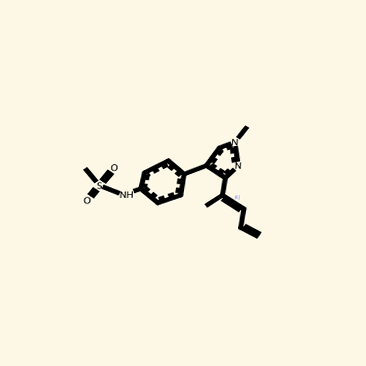 C=C/C=C(\C)c1nn(C)cc1-c1ccc(NS(C)(=O)=O)cc1